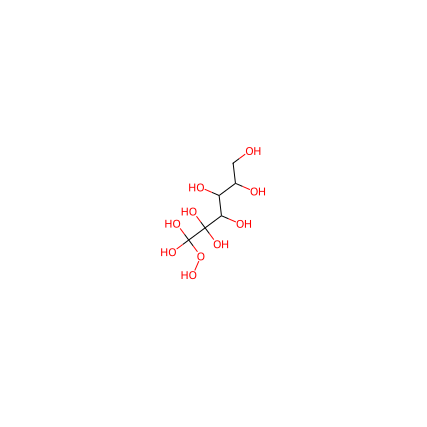 OCC(O)C(O)C(O)C(O)(O)C(O)(O)OO